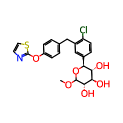 COC1O[C@@H](c2ccc(Cl)c(Cc3ccc(Oc4nccs4)cc3)c2)[C@H](O)[C@@H](O)[C@@H]1O